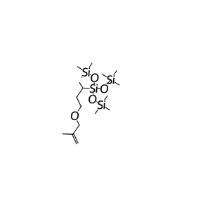 C=C(C)COCCC(C)[Si](O[Si](C)(C)C)(O[Si](C)(C)C)O[Si](C)(C)C